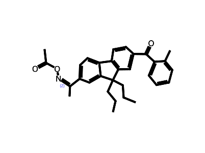 CCCC1(CCC)c2cc(C(=O)c3ccccc3C)ccc2-c2ccc(/C(C)=N\OC(C)=O)cc21